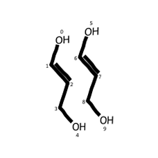 OC=CCO.OC=CCO